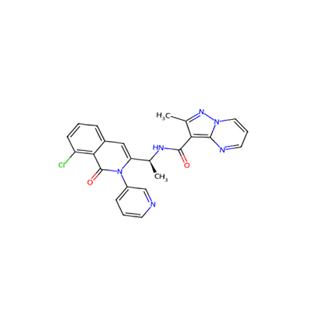 Cc1nn2cccnc2c1C(=O)N[C@@H](C)c1cc2cccc(Cl)c2c(=O)n1-c1cccnc1